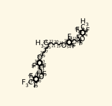 Cc1c(F)cc(OC(F)(F)CCc2c(F)cc(OCCCCCC(C)CCCCCOc3cc(F)c(CCC(F)(F)Oc4cc(F)c(C(F)(F)F)c(F)c4)c(F)c3)cc2F)cc1F